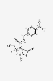 C[C@@]1(CCl)S[C@@H]2CC(=O)N2[C@H]1C(=O)OCc1ccc([N+](=O)[O-])cc1